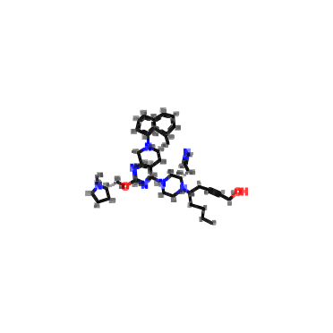 CCCCC(CC#CCO)N1CCN(c2nc(OC[C@@H]3CCCN3C)nc3c2CCN(c2cccc4cccc(C)c24)C3)C[C@@H]1CC#N